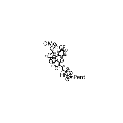 CCCCCS(=O)(=O)NC(=O)C=Cc1ccc(OC(C)(C)CCOCOC)cc1Oc1ncc(C(F)(F)F)cc1Cl